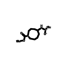 CC(C)(C)OC(=O)N1CCCCC(N[S+]([O-])C(C)(C)C)CCC1